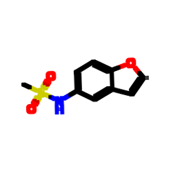 CS(=O)(=O)Nc1ccc2o[c]cc2c1